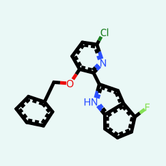 Fc1cccc2[nH]c(-c3nc(Cl)ccc3OCc3ccccc3)cc12